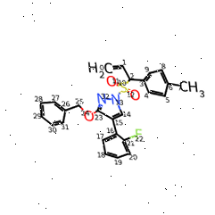 C=CC(c1ccc(C)cc1)S(=O)(=O)n1cc(-c2ccccc2F)c(OCc2ccccc2)n1